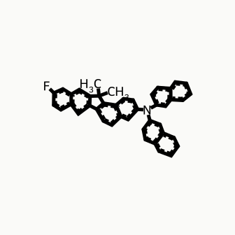 CC1(C)c2cc3cc(F)ccc3cc2-c2ccc3cc(N(c4ccc5ccccc5c4)c4ccc5ccccc5c4)ccc3c21